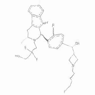 C[C@@H]1Cc2c([nH]c3ccccc23)[C@@H](c2ccc([C@H](O)C3CN(CCCF)C3)cc2F)N1CC(F)(F)CO